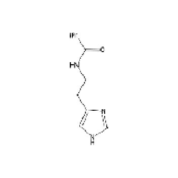 CC(C)C(=O)NCCc1c[nH]cn1